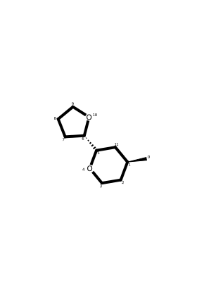 C[C@H]1CCOC([C@@H]2CCCO2)C1